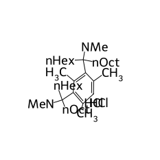 CCCCCCCCC(CCCCCC)(NC)c1c(C)cc(C)c(C(CCCCCC)(CCCCCCCC)NC)c1C.Cl.Cl